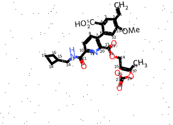 C=Cc1cc(C(=O)O)c(-c2ccc(C(=O)NCC3CCC3)nc2C(=O)OCc2oc(=O)oc2C)cc1OC